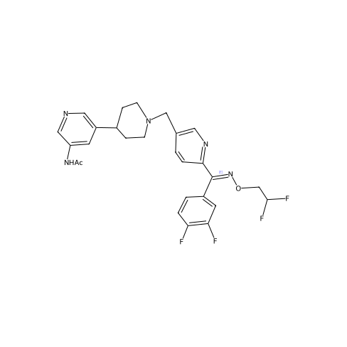 CC(=O)Nc1cncc(C2CCN(Cc3ccc(/C(=N/OCC(F)F)c4ccc(F)c(F)c4)nc3)CC2)c1